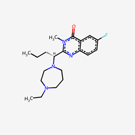 CCC[C@H](c1nc2ccc(F)cc2c(=O)n1C)N1CCCN(CC)CC1